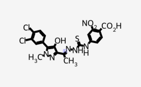 C/C(=N\NC(=S)Nc1ccc(C(=O)O)c([N+](=O)[O-])c1)c1nn(C)c(-c2ccc(Cl)c(Cl)c2)c1O